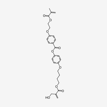 C=C(C)C(=O)OCCOc1ccc(C(=O)Oc2ccc(OCCCCOC(=O)C(=C)CO)cc2)cc1